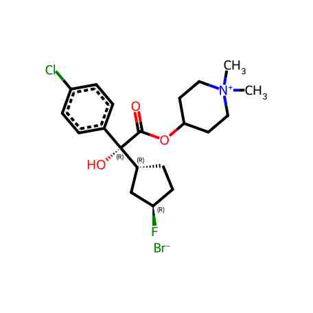 C[N+]1(C)CCC(OC(=O)[C@](O)(c2ccc(Cl)cc2)[C@@H]2CC[C@@H](F)C2)CC1.[Br-]